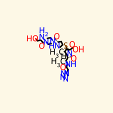 C[C@@H](NC(=O)Cn1cnnn1)[C@H]1C(=O)N2C(C(=O)O)=C(S[C@@H]3CN[C@H](C(=O)N4CCN(C(=O)C(N)CO)CC4)C3)[C@H](C)[C@H]12